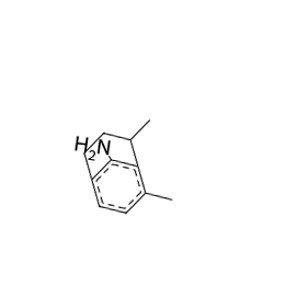 Cc1ccc2c(N)c1C(C)CC2